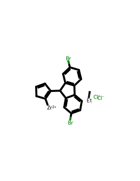 Brc1ccc2c(c1)C(C1=[C]([Zr+2])CC=C1)c1cc(Br)ccc1-2.CCC.[Cl-].[Cl-]